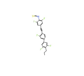 CCCc1c(F)cc(-c2ccc(C#Cc3cc(F)c(N=C=S)c(F)c3)c(F)c2)cc1F